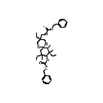 CCC1(COC(=O)OCc2ccccc2)COC2(CC(C)(CC)N(OC(=O)OCc3ccccc3)C(C)(CC)C2C)OC1